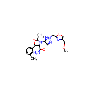 CCOCc1coc(Cn2ncc(N3C(C(N)=O)=C(c4cccc(C)c4)OC3C)n2)n1